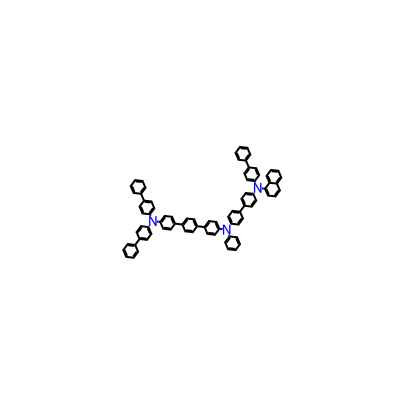 c1ccc(-c2ccc(N(c3ccc(-c4ccccc4)cc3)c3ccc(-c4ccc(-c5ccc(N(c6ccccc6)c6ccc(-c7ccc(N(c8ccc(-c9ccccc9)cc8)c8cccc9ccccc89)cc7)cc6)cc5)cc4)cc3)cc2)cc1